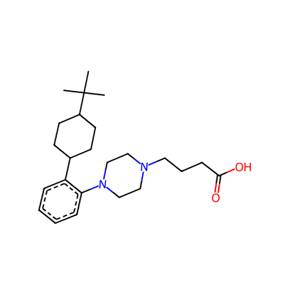 CC(C)(C)C1CCC(c2ccccc2N2CCN(CCCC(=O)O)CC2)CC1